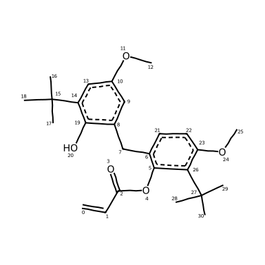 C=CC(=O)Oc1c(Cc2cc(OC)cc(C(C)(C)C)c2O)ccc(OC)c1C(C)(C)C